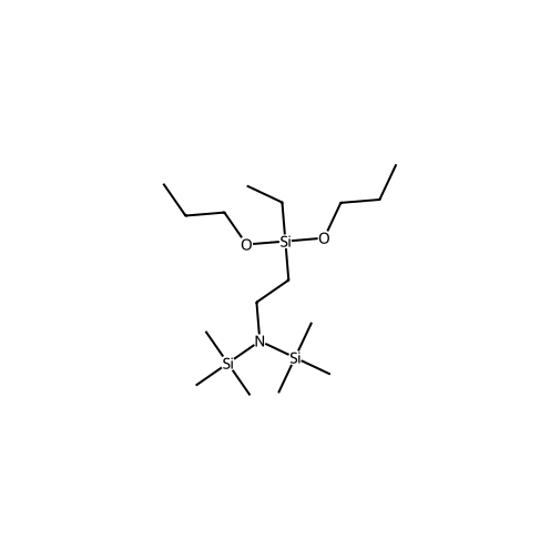 CCCO[Si](CC)(CCN([Si](C)(C)C)[Si](C)(C)C)OCCC